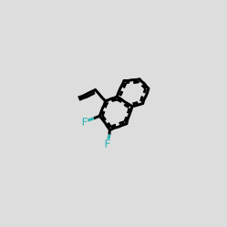 C=Cc1c(F)c(F)cc2ccccc12